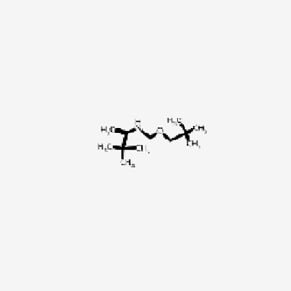 C=C(NCOCC(C)(C)C)C(C)(C)C